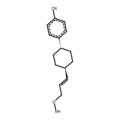 CCCOCC=C[C@H]1CC[C@H](c2ccc(C#N)cc2)CC1